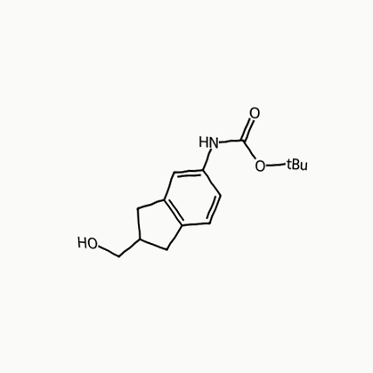 CC(C)(C)OC(=O)Nc1ccc2c(c1)CC(CO)C2